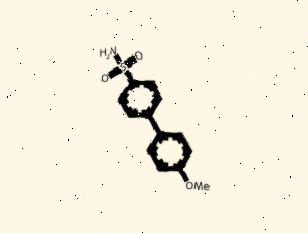 COc1[c]cc(-c2ccc(S(N)(=O)=O)cc2)cc1